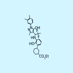 CCOC(=O)C1CCCC(c2cccc(NC(c3c(C)nn(-c4ccc(C)c(C)c4)c3O)C(C)(F)F)c2O)C1